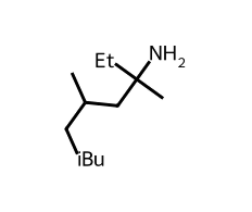 CCC(C)CC(C)CC(C)(N)CC